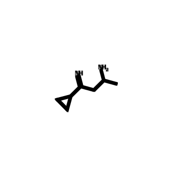 CC(N)CC(=N)C1CC1